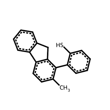 Cc1ccc2c(c1-c1ccccc1S)Cc1ccccc1-2